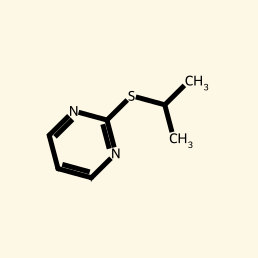 CC(C)Sc1n[c]ccn1